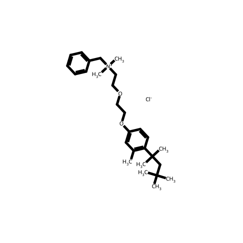 Cc1cc(OCCOCC[N+](C)(C)Cc2ccccc2)ccc1C(C)(C)CC(C)(C)C.[Cl-]